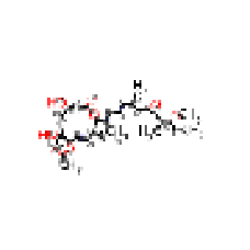 CCC(OC)C(C)C1OC1CC(C)/C=C/C=C(\C)C1OC(=O)CC(O)CCC(C)(O)C(OC(C)=O)/C=C/C1C